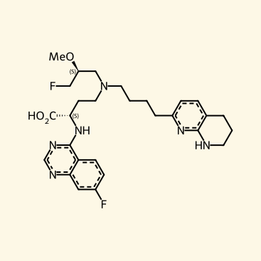 CO[C@H](CF)CN(CCCCc1ccc2c(n1)NCCC2)CC[C@H](Nc1ncnc2cc(F)ccc12)C(=O)O